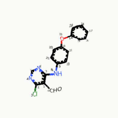 O=Cc1c(Cl)ncnc1Nc1ccc(Oc2ccccc2)cc1